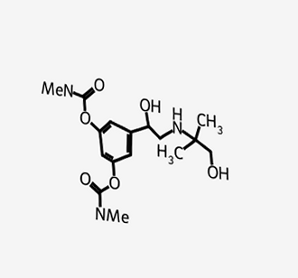 CNC(=O)Oc1cc(OC(=O)NC)cc(C(O)CNC(C)(C)CO)c1